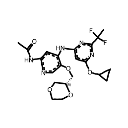 CC(=O)Nc1cc(Nc2cc(OC3CC3)nc(C(C)(F)F)n2)c(OC[C@H]2COCCO2)cn1